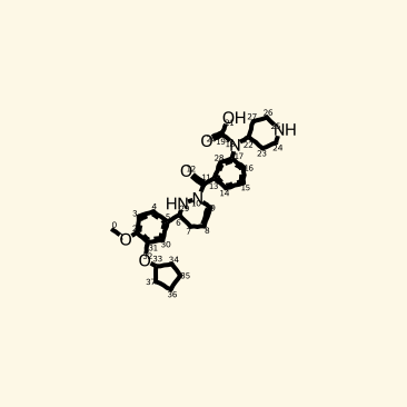 COc1ccc(C2CC=CN(C(=O)c3cccc(N(C(=O)O)C4CCNCC4)c3)N2)cc1OC1CCCC1